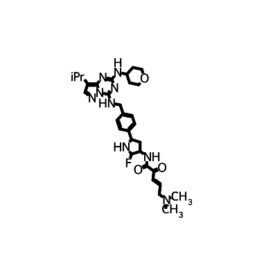 CC(C)c1cnn2c(NCc3ccc(C4CC(NC(=O)C(=O)/C=C/CN(C)C)C(F)N4)cc3)nc(NC3CCOCC3)nc12